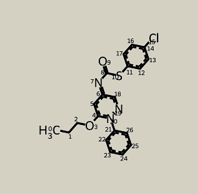 CCCOc1cc(=NC(=O)Sc2ccc(Cl)cc2)cnn1-c1ccccc1